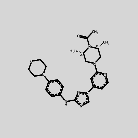 CC(=O)N1[C@H](C)CN(c2cc(-n3cnc(Nc4ccc(N5CCOCC5)cc4)n3)ccn2)C[C@@H]1C